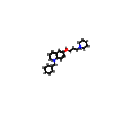 c1cc2c(cc1OCCCN1CCCCC1)CCCN2CC1CCCCC1